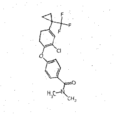 CN(C)C(=O)c1ccc(OC2=C(Cl)C=C(C3(C(F)(F)F)CC3)CC2)cc1